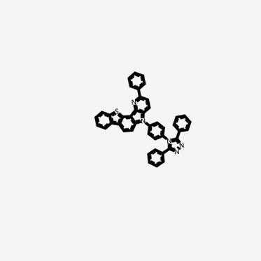 c1ccc(-c2ccc3c(n2)c2c4sc5ccccc5c4ccc2n3-c2ccc(-n3c(-c4ccccc4)nnc3-c3ccccc3)cc2)cc1